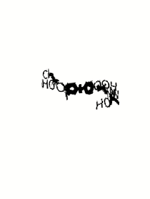 Cc1nnn(C[C@H](O)COc2ccc(C(C)(C)c3ccc(OC[C@H](O)CCl)c(I)c3)cc2)c1CO